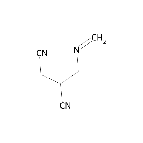 C=NCC(C#N)CC#N